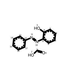 O=CO.Oc1ccccc1N=Nc1ccccc1